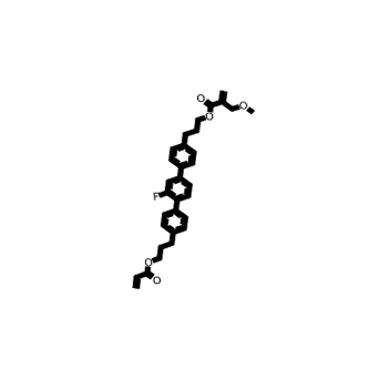 C=CC(=O)OCCCc1ccc(-c2ccc(-c3ccc(CCCOC(=O)C(=C)COC)cc3)cc2F)cc1